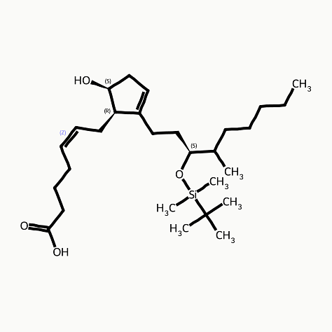 CCCCCC(C)[C@H](CCC1=CC[C@H](O)[C@@H]1C/C=C\CCCC(=O)O)O[Si](C)(C)C(C)(C)C